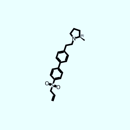 C=CCS(=O)(=O)c1ccc(-c2ccc(CCN3CCC[C@H]3C)cc2)cc1